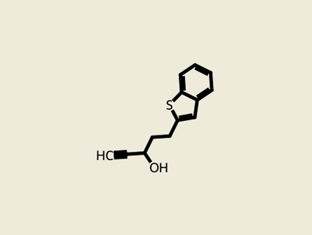 C#CC(O)CCc1cc2ccccc2s1